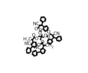 C=C(C(=O)OCC(COOC(=O)C(C#N)=C(c1ccccc1)c1ccccc1)(COOC(=O)C(C#N)=C(c1ccccc1)c1ccccc1)COC(=O)C(=C)c1cccc(-c2ccccc2)c1C#N)c1cccc(-c2ccccc2)c1C#N